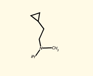 CC(C)N(C)CCC1CC1